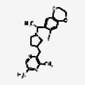 Cc1cnc(C[C@H]2CCN([C@H](C)c3cc4c(cc3F)OCCO4)C2)c(C)n1